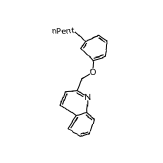 CCCCCc1cccc(OCc2ccc3ccccc3n2)c1